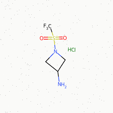 Cl.NC1CN(S(=O)(=O)C(F)(F)F)C1